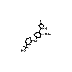 COc1cc(Nc2nccc(C(C)(C)O)n2)ccc1-c1nc(C)c[nH]1